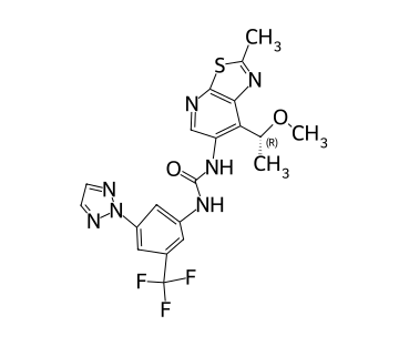 CO[C@H](C)c1c(NC(=O)Nc2cc(-n3nccn3)cc(C(F)(F)F)c2)cnc2sc(C)nc12